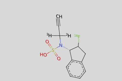 [2H]C([2H])(C#C)N([C@H]1c2ccccc2CC1[18F])S(=O)(=O)O